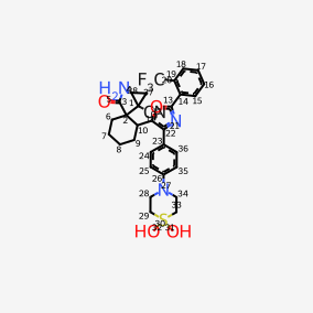 N#CC1(C2(C(N)=O)CCCCC2c2oc(-c3ccccc3C(F)(F)F)nc2-c2ccc(N3CCS(O)(O)CC3)cc2)CC1